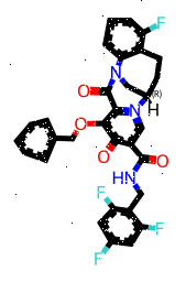 O=C(NCc1c(F)cc(F)cc1F)c1cn2c(c(OCc3ccccc3)c1=O)C(=O)N1C[C@H]2CCc2c(F)cccc21